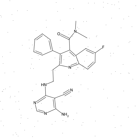 CN(C)C(=O)c1c(-c2ccccc2)c(CCNc2ncnc(N)c2C#N)nc2ccc(F)cc12